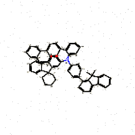 CC1(C)c2ccccc2-c2cccc(-c3ccc(N(c4ccc5c(c4)C4(CCCCC4)c4ccccc4-5)c4ccccc4-c4ccc5c(ccc6ccccc65)c4)cc3)c21